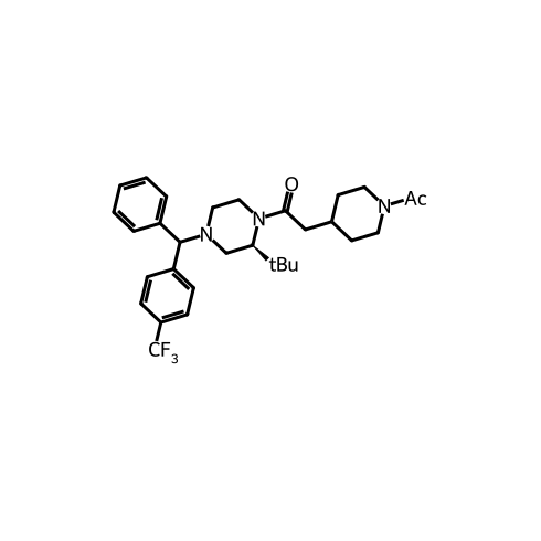 CC(=O)N1CCC(CC(=O)N2CCN(C(c3ccccc3)c3ccc(C(F)(F)F)cc3)C[C@@H]2C(C)(C)C)CC1